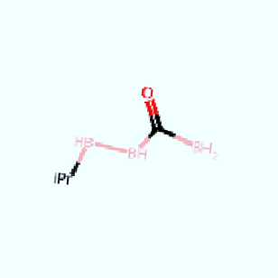 BC(=O)BBC(C)C